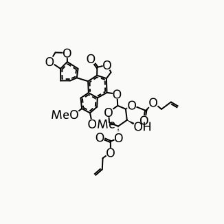 C=CCOC(=O)O[C@@H]1COC(Oc2c3c(c(-c4ccc5c(c4)OCO5)c4cc(OC)c(OC)cc24)C(=O)OC3)[C@H](OC(=O)OCC=C)[C@H]1O